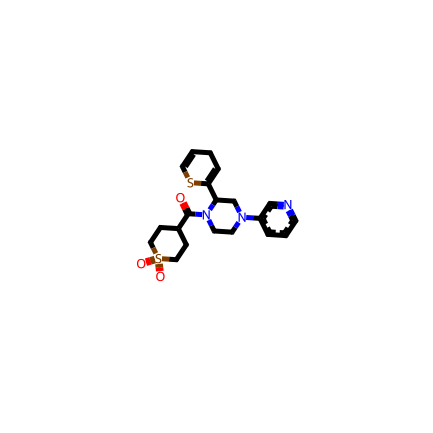 O=C(C1CCS(=O)(=O)CC1)N1CCN(c2cccnc2)CC1C1=CCC=CS1